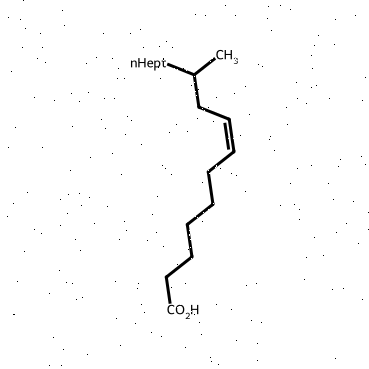 CCCCCCCC(C)C/C=C\CCCCCC(=O)O